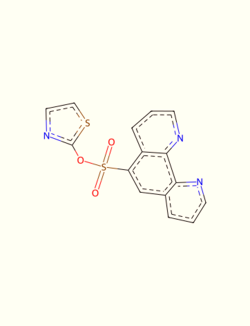 O=S(=O)(Oc1nccs1)c1cc2cccnc2c2ncccc12